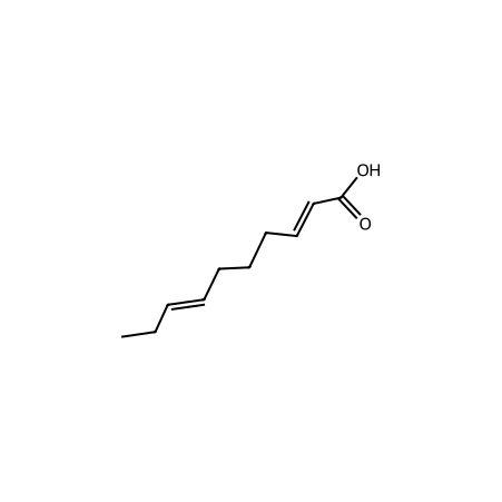 CC/C=C/CCC/C=C/C(=O)O